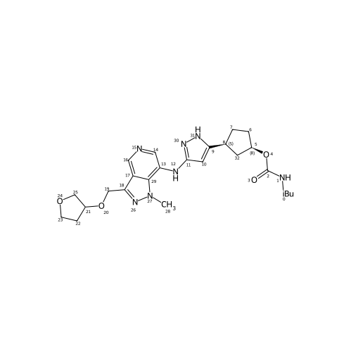 CCC(C)NC(=O)O[C@@H]1CC[C@H](c2cc(Nc3cncc4c(COC5CCOC5)nn(C)c34)n[nH]2)C1